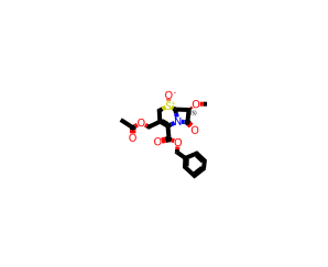 CO[C@H]1C(=O)N2C(C(=O)OCc3ccccc3)=C(COC(C)=O)C[S+]([O-])C12